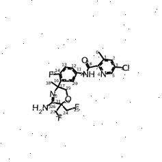 Cc1cc(Cl)cnc1C(=O)Nc1ccc(F)c(C2(C)COC(CF)(CF)C(N)=N2)c1